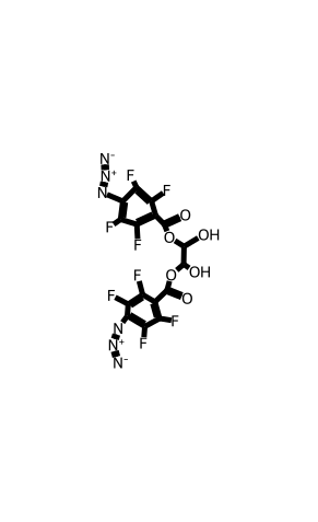 [N-]=[N+]=Nc1c(F)c(F)c(C(=O)OC(O)C(O)OC(=O)c2c(F)c(F)c(N=[N+]=[N-])c(F)c2F)c(F)c1F